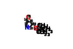 CC(C)(C)[Si](C)(C)OCc1cncc(C=O)c1